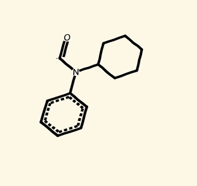 O=[C]N(c1ccccc1)C1CCCCC1